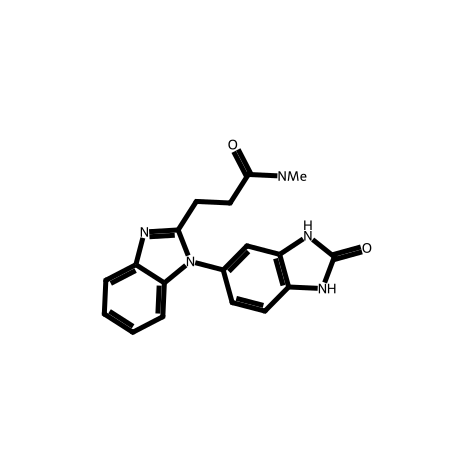 CNC(=O)CCc1nc2ccccc2n1-c1ccc2[nH]c(=O)[nH]c2c1